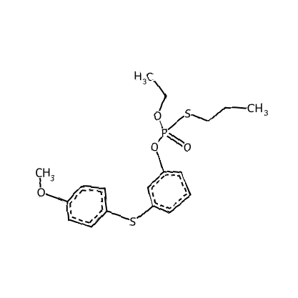 CCCSP(=O)(OCC)Oc1cccc(Sc2ccc(OC)cc2)c1